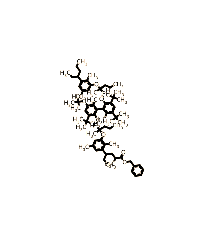 CCCC(CC)c1cc(C)cc(OC(C)(CCC)POc2c(C(C)(C)C)cc(C(C)(C)C)c(C)c2-c2c(C)c(OC(C)(C)C)cc(C(C)(C)C)c2OPC(C)(CCC)Oc2cc(C)cc(C(CC)CC(C)C(=O)OCc3ccccc3)c2C)c1C